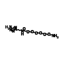 NCCOCCOCCOCCOCCOCCOCCC(=O)NCCCCn1ncc2c(N)ncnc21